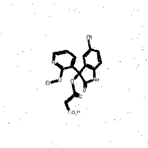 CCOc1ncccc1C1(OC(=O)CC(=O)O)C(=O)Nc2ccc(C#N)cc21